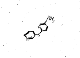 Nc1ccc(Sc2cccnc2)nc1